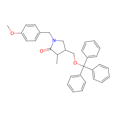 COc1ccc(CN2CC(COC(c3ccccc3)(c3ccccc3)c3ccccc3)C(C)C2=O)cc1